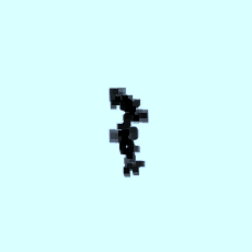 CCC(C)C(CC)CSc1ccc(NC(=O)/C(C)=C/C=C(\NC)c2cc(C(F)(F)F)nn2CC)cc1C